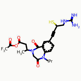 CC(CC(=O)OC(=O)C(F)(F)F)N1CC(=O)N(C(C)C)c2ccc(C#CC(S)CNC(=N)N)cc2C1=O